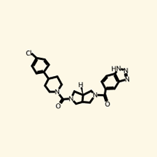 O=C(c1ccc2[nH]nnc2c1)N1CC2CN(C(=O)N3CCC(c4ccc(Cl)cc4)CC3)C[C@@H]2C1